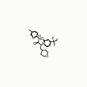 Cc1ccc(NC(=O)C(CC2CCOCC2)n2ccc(C(F)(F)F)cc2=O)nc1